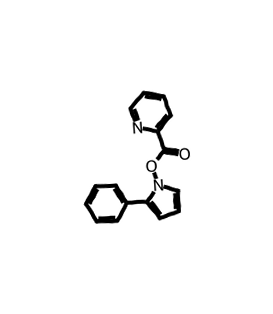 O=C(On1cccc1-c1ccccc1)c1ccccn1